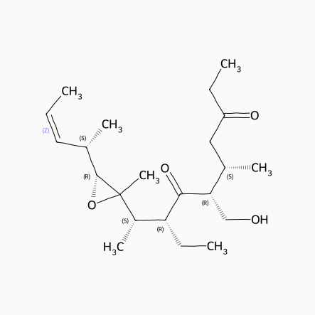 C/C=C\[C@H](C)[C@H]1OC1(C)[C@@H](C)[C@@H](CC)C(=O)[C@@H](CO)[C@@H](C)CC(=O)CC